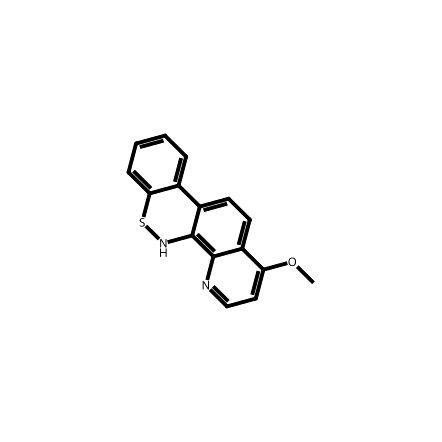 COc1ccnc2c3c(ccc12)-c1ccccc1SN3